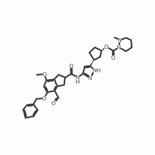 COc1cc(OCc2ccccc2)c(C=O)c2c1CC(C(=O)Nc1cc([C@H]3CC[C@@H](OC(=O)N4CCCCN4C)C3)[nH]n1)C2